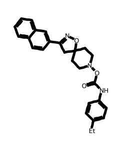 CCc1ccc(NC(=O)ON2CCC3(CC2)CC(c2ccc4ccccc4c2)=NO3)cc1